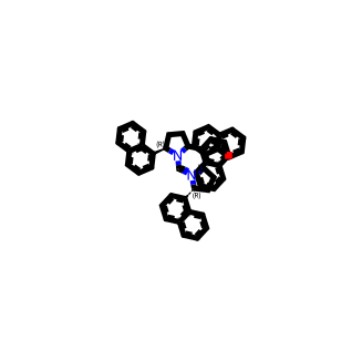 C(N1C(c2cccc3ccccc23)CC[C@@H]1c1cccc2ccccc12)=[N+]1[C@@H](c2cccc3ccccc23)CC[C@@H]1c1cccc2ccccc12